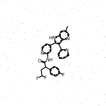 Cc1cnc2c(-c3ccccn3)c(-c3ccnc(NC(=O)C(CC(F)F)c4ccc(F)cc4)c3)[nH]c2c1